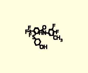 Cc1cc(NC(=O)c2ccc(C(F)(F)F)c(SC3CCC(O)CC3)c2)cc(F)c1F